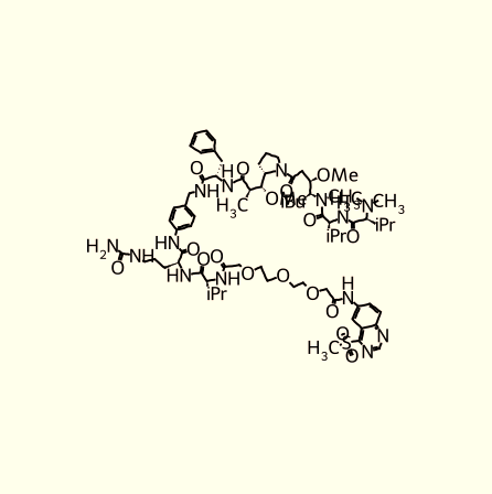 CC[C@H](C)[C@@H]([C@@H](CC(=O)N1CCC[C@H]1[C@H](OC)[C@@H](C)C(=O)N[C@@H](Cc1ccccc1)C(=O)NCc1ccc(NC(=O)[C@H](CCCNC(N)=O)NC(=O)[C@@H](NC(=O)COCCOCCOCC(=O)Nc2ccc3ncnc(S(C)(=O)=O)c3c2)C(C)C)cc1)OC)N(C)C(=O)[C@@H](NC(=O)[C@H](C(C)C)N(C)C)C(C)C